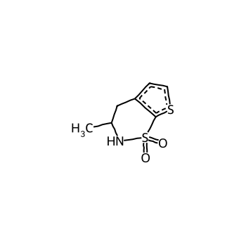 CC1Cc2ccsc2S(=O)(=O)N1